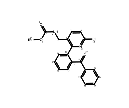 CC(C)(C)OC(=O)NCc1ccc(Cl)nc1-c1ccccc1C(=O)c1ccccc1